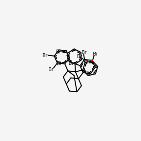 Brc1cccc(C23CC4CC(C2)CC(c2cccc(Br)c2Br)(C4)C3(c2cccc(Br)c2Br)c2cccc(Br)c2Br)c1Br